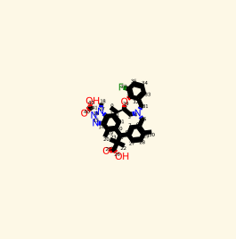 CC[C@@H]1CN(Cc2cc(C(c3ccc4c(nnn4C)c3C)C(C)(C)C(=O)O)ccc2C)Cc2cccc(F)c2O1.O=CO